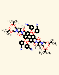 C=C(C)C(=O)OCCN(CCOC(=O)C(=C)C)C(=O)C(C(C)C)N1C(=O)c2cc(Oc3cccc(C#N)c3)c3c4c(Oc5cccc(C#N)c5)cc5c6c(cc(Oc7cccc(C#N)c7)c(c7c(Oc8cccc(C#N)c8)cc(c2c37)C1=O)c64)C(=O)N(C(C(=O)N(CCOC(=O)C(=C)C)CCOC(=O)C(=C)C)C(C)C)C5=O